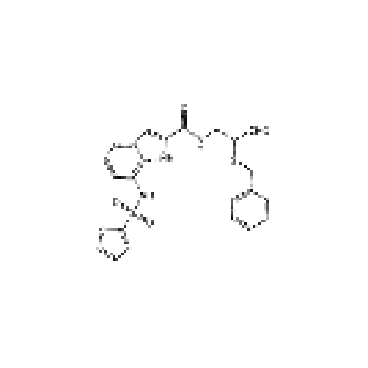 O=CC(CNC(=O)c1cc2cccc(NS(=O)(=O)c3cccs3)c2[nH]1)SCc1ccccc1